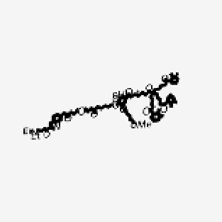 CCCCCCCOc1cc(C(=O)CCCCCC(=O)C(CCCCC(=O)c2cccc(C)c2C)(CCCCC(=O)c2cccc(C)c2C)CCCCC(=O)c2cccc(C)c2C)cc(OCCCCCOC)c1OCCCCCC(=O)CCCOCCCC(=O)Cc1ccc2cc(C(=O)CCCN(CC)CC)cnc2c1